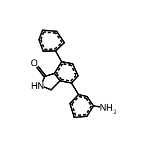 Nc1cccc(-c2ccc(-c3ccccc3)c3c2CNC3=O)c1